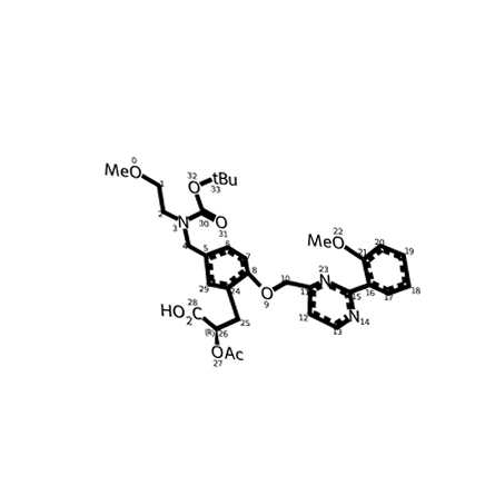 COCCN(Cc1ccc(OCc2ccnc(-c3ccccc3OC)n2)c(C[C@@H](OC(C)=O)C(=O)O)c1)C(=O)OC(C)(C)C